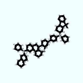 CC1(C)c2ccccc2-c2ccc(N(c3ccccc3)c3ccc(-c4ccc5c(c4)Sc4cccc6c4c-5cc4ccc(N(c5ccccc5)c5ccc7ccccc7c5)cc46)cc3)cc21